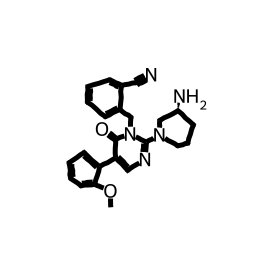 COc1ccccc1-c1cnc(N2CCC[C@@H](N)C2)n(Cc2ccccc2C#N)c1=O